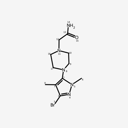 Cc1c(Br)nn(C)c1N1CCN(CC(N)=O)CC1